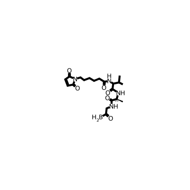 BC(=O)CNC(=O)[C@H](C)NC(=O)C(NC(=O)CCCCCN1C(=O)C=CC1=O)C(C)C